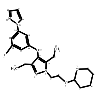 CCc1nn(CCOC2CCCCO2)c(CC)c1Oc1cc(F)cc(-n2cccn2)c1